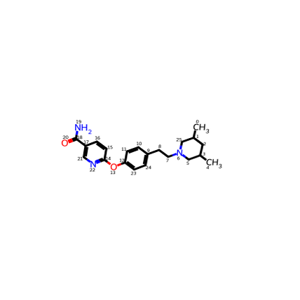 CC1CC(C)CN(CCc2ccc(Oc3ccc(C(N)=O)cn3)cc2)C1